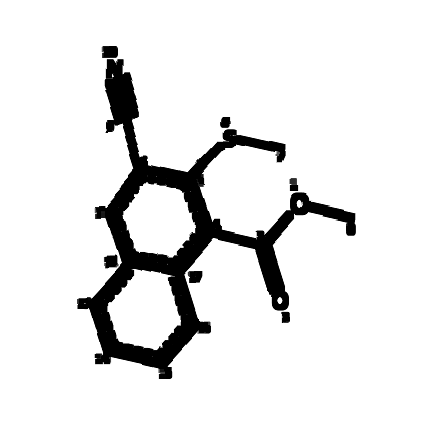 COC(=O)c1c(SC)c(C#N)cc2ccccc12